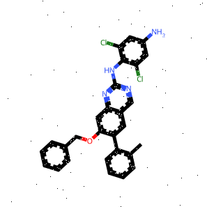 Cc1ccccc1-c1cc2cnc(Nc3c(Cl)cc(N)cc3Cl)nc2cc1OCc1ccccc1